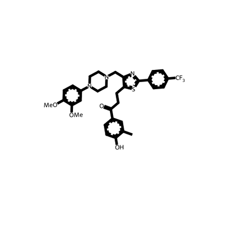 COc1ccc(N2CCN(Cc3nc(-c4ccc(C(F)(F)F)cc4)sc3CCC(=O)c3ccc(O)c(C)c3)CC2)cc1OC